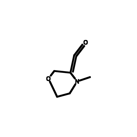 CN1CCOCC1=C=O